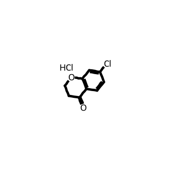 Cl.O=C1CCOc2cc(Cl)ccc21